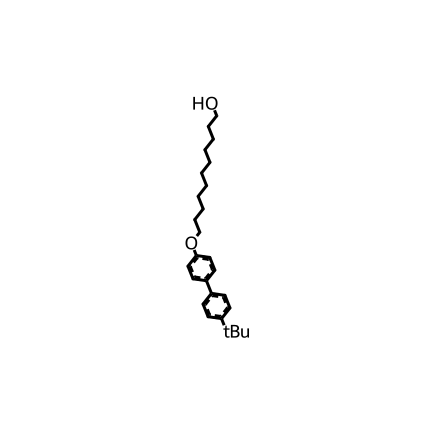 CC(C)(C)c1ccc(-c2ccc(OCCCCCCCCCCCO)cc2)cc1